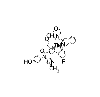 COCCc1c(C(=O)N(c2ccc(O)cc2)c2cnn(C)c2)cc(-c2cc(F)ccc2C(=O)N2Cc3ccccc3C[C@H]2CN2CCOCC2)n1C